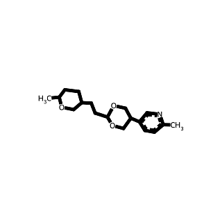 Cc1ccc(C2COC(CCC3CCC(C)OC3)OC2)cn1